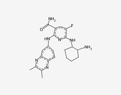 Cc1nc2ccc(Nc3nc(NC4CCCCC4N)c(F)cc3C(N)=O)cc2nc1C